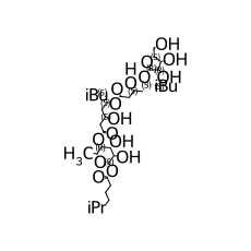 CC[C@H](C)[C@H](C[C@H](O)CC(=O)O[C@H]1C(C)O[C@@H](OC(=O)CCCC(C)C)C(O)C1O)OC(=O)C[C@@H](O)C[C@H](O[C@@H]1O[C@@H](CO)C(O)[C@H]1O)[C@@H](C)CC